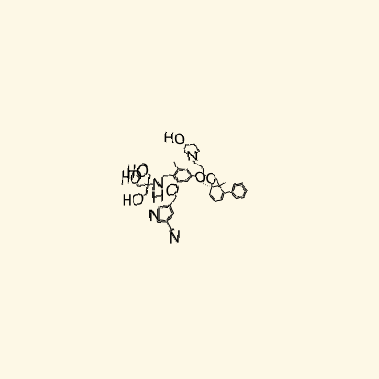 Cc1cc(OC[C@@]2(OCCCN3CCC(O)C3)C=CC=C(c3ccccc3)C2(C)C)cc(OCc2cncc(C#N)c2)c1CNC(CO)(CO)CO